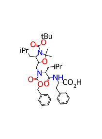 CC(C)CC1C(CN(C(=O)OCc2ccccc2)[C@@H](CC(C)C)C(=O)N[C@@H](Cc2ccccc2)C(=O)O)OC(C)(C)N1C(=O)OC(C)(C)C